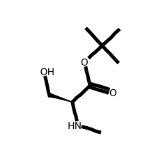 CN[C@@H](CO)C(=O)OC(C)(C)C